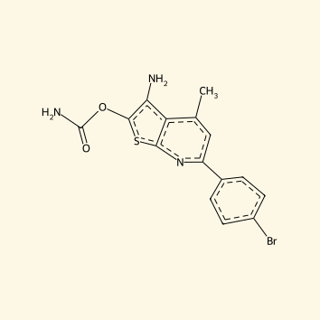 Cc1cc(-c2ccc(Br)cc2)nc2sc(OC(N)=O)c(N)c12